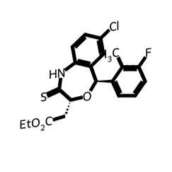 CCOC(=O)C[C@H]1O[C@H](c2cccc(F)c2C)c2cc(Cl)ccc2NC1=S